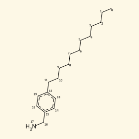 CCCCCCCCCCCCc1ccc(CN)cc1